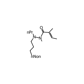 CC=C(C)C(=O)N(C)N(CCC)CCCCCCCCCCCC